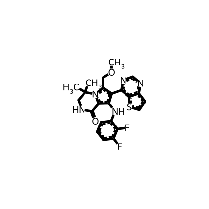 COCc1c(-c2ncnc3ccsc23)c(Nc2cccc(F)c2F)c2n1C(C)(C)CNC2=O